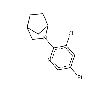 CCc1cnc(N2CC3CCC2C3)c(Cl)c1